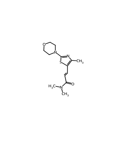 Cc1nc(N2CCOCC2)sc1C=CC(=O)N(C)C